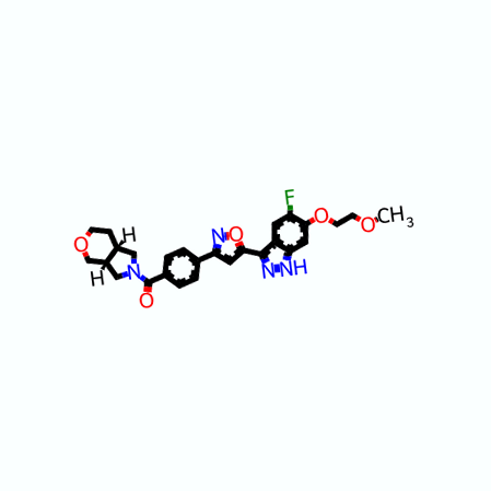 COCCOc1cc2[nH]nc(-c3cc(-c4ccc(C(=O)N5C[C@H]6CCOC[C@H]6C5)cc4)no3)c2cc1F